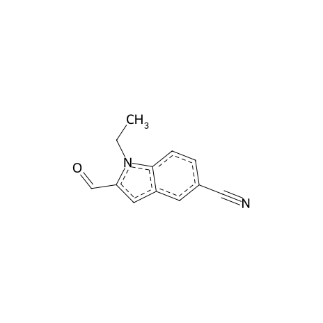 CCn1c(C=O)cc2cc(C#N)ccc21